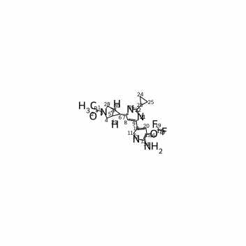 CC(=O)N1C[C@@H]2C(c3cc(-c4cnc(N)c(OC(F)F)c4)nc(C4CC4)n3)[C@@H]2C1